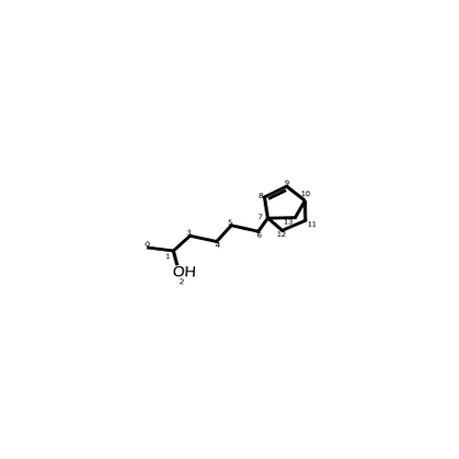 CC(O)CCCCC12C=CC(CC1)C2